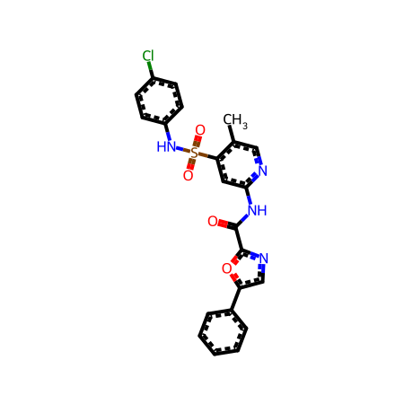 Cc1cnc(NC(=O)c2ncc(-c3ccccc3)o2)cc1S(=O)(=O)Nc1ccc(Cl)cc1